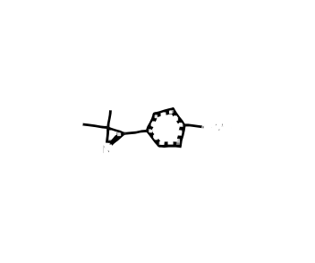 COc1ccc(C2=NC2(C)C)cc1